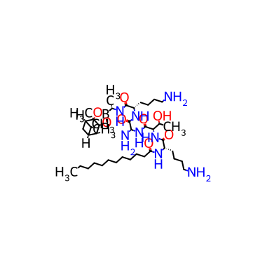 CCCCCCCCCCCC(=O)N[C@@H](CCCCN)C(=O)N[C@H](C(=O)N[C@@H](N)C(=O)N[C@@H](CCCCN)C(=O)N[C@@H](C)B1OC2C[C@@H]3C[C@@H](C3(C)C)[C@]2(C)O1)C(C)O